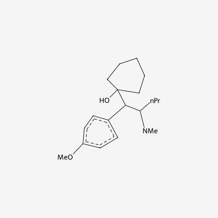 CCCC(NC)C(c1ccc(OC)cc1)C1(O)CCCCC1